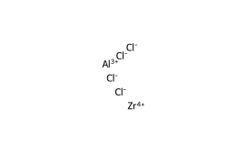 [Al+3].[Cl-].[Cl-].[Cl-].[Cl-].[Zr+4]